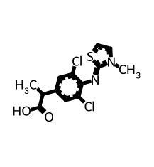 CC(C(=O)O)c1cc(Cl)c(N=c2sccn2C)c(Cl)c1